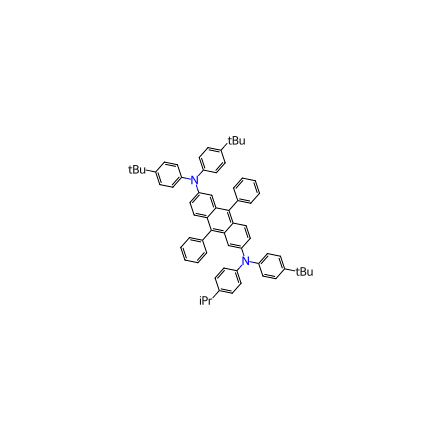 CC(C)c1ccc(N(c2ccc(C(C)(C)C)cc2)c2ccc3c(-c4ccccc4)c4cc(N(c5ccc(C(C)(C)C)cc5)c5ccc(C(C)(C)C)cc5)ccc4c(-c4ccccc4)c3c2)cc1